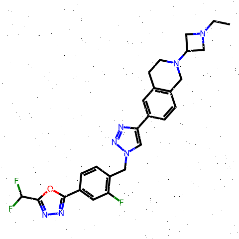 CCN1CC(N2CCc3cc(-c4cn(Cc5ccc(-c6nnc(C(F)F)o6)cc5F)nn4)ccc3C2)C1